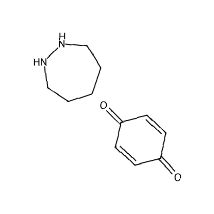 C1CCNNCC1.O=C1C=CC(=O)C=C1